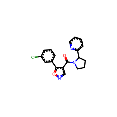 O=C(c1cnoc1-c1cccc(Cl)c1)N1CCCC1c1ccccn1